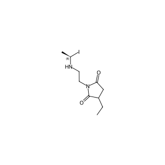 CCC1CC(=O)N(CCN[C@@H](C)I)C1=O